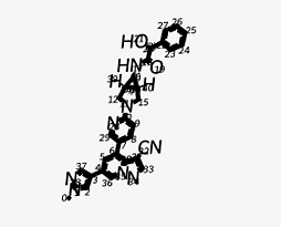 Cn1cc(-c2cc(-c3ccc(N4C[C@@H]5[C@H](C4)[C@H]5NC(=O)[C@H](O)c4ccccc4)nc3)c3c(C#N)cnn3c2)cn1